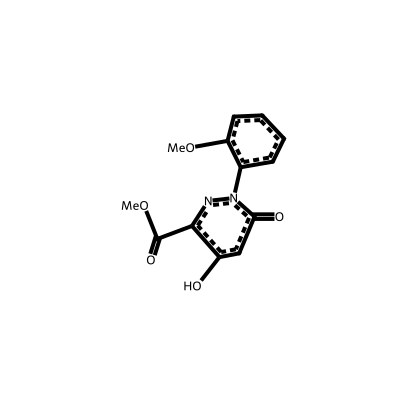 COC(=O)c1nn(-c2ccccc2OC)c(=O)cc1O